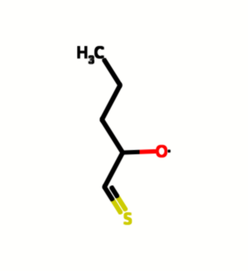 CCCC([O])C=S